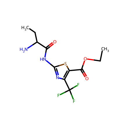 CCOC(=O)c1sc(NC(=O)C(N)CC)nc1C(F)(F)F